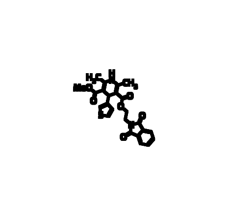 COC(=O)C1=C(C)NC(C)=C(C(=O)OCCN2C(=O)c3ccccc3C2=O)C1c1ccsc1